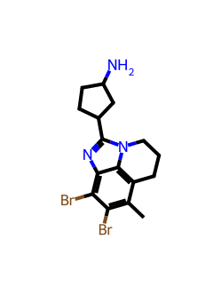 Cc1c(Br)c(Br)c2nc(C3CCC(N)C3)n3c2c1CCC3